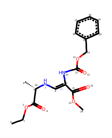 CCOC(=O)[C@H](C)N/C=C(\NC(=O)OCc1ccccc1)C(=O)OC